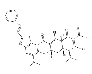 CN(C)c1cc2nc(C=Cc3ccccc3)oc2c2c1C[C@H]1C[C@H]3[C@H](N(C)C)C(O)=C(C(N)=O)C(=O)[C@@]3(O)C(O)=C1C2=O